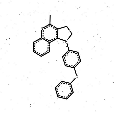 Cc1nc2ccccc2c2c1CCN2c1ccc(Oc2ccccc2)cc1